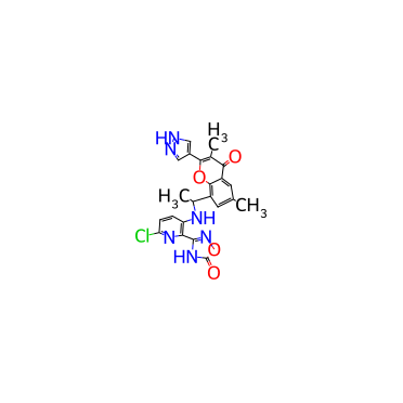 Cc1cc(C(C)Nc2ccc(Cl)nc2-c2noc(=O)[nH]2)c2oc(-c3cn[nH]c3)c(C)c(=O)c2c1